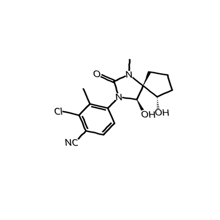 Cc1c(N2C(=O)N(C)[C@@]3(CCC[C@@H]3O)[C@H]2O)ccc(C#N)c1Cl